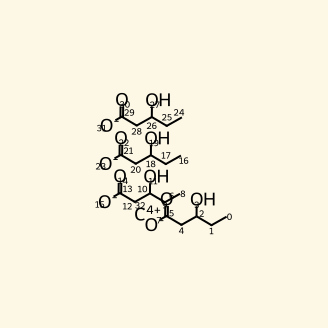 CCC(O)CC(=O)[O-].CCC(O)CC(=O)[O-].CCC(O)CC(=O)[O-].CCC(O)CC(=O)[O-].[C+4]